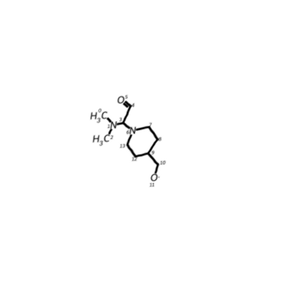 CN(C)C(C=O)N1CCC(C[O])CC1